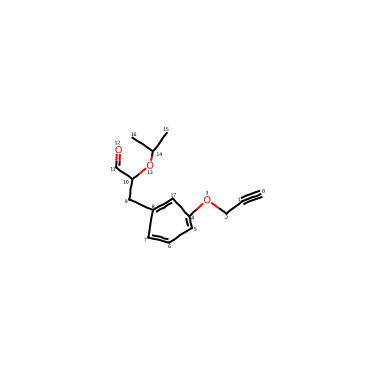 C#CCOc1cccc(CC(C=O)OC(C)C)c1